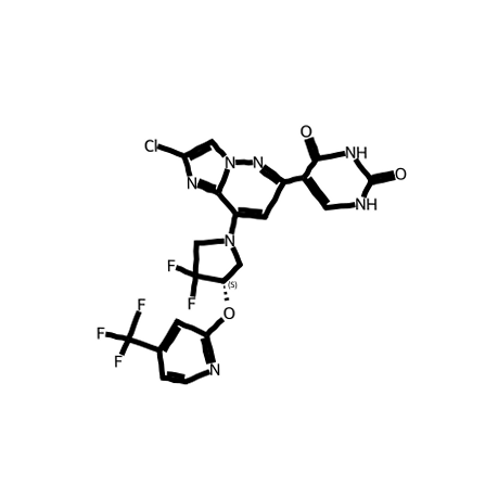 O=c1[nH]cc(-c2cc(N3C[C@H](Oc4cc(C(F)(F)F)ccn4)C(F)(F)C3)c3nc(Cl)cn3n2)c(=O)[nH]1